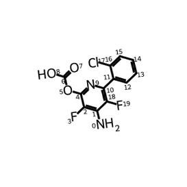 Nc1c(F)c(OC(=O)O)nc(-c2ccccc2Cl)c1F